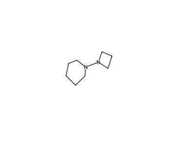 C1CCN(N2CCC2)CC1